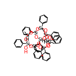 C[SiH]1O[Si](O)(c2ccccc2)O[Si]2(c3ccccc3)O[Si]3(c4ccccc4)O[SiH](C)O[Si]4(c5ccccc5)O[Si](c5ccccc5)(O[SiH](c5ccccc5)O3)O[Si](c3ccccc3)(O1)O[Si](c1ccccc1)(O4)O2